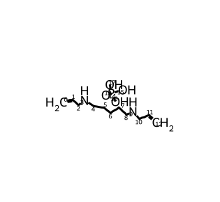 C=CCNCCCCCNCC=C.O=P(O)(O)O